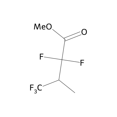 COC(=O)C(F)(F)C(C)C(F)(F)F